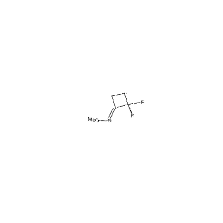 CON=C1C[CH]C1(F)F